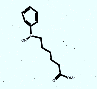 COC(=O)CCCCCN(N=O)c1ccccc1